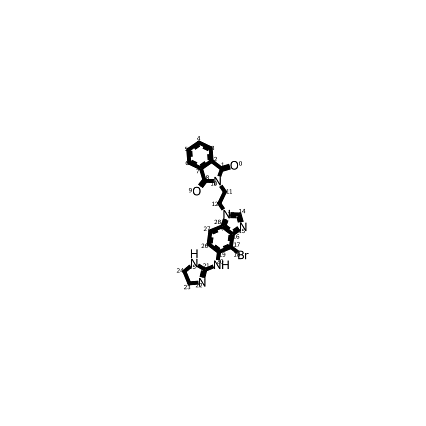 O=C1c2ccccc2C(=O)N1CCn1cnc2c(Br)c(NC3=NCCN3)ccc21